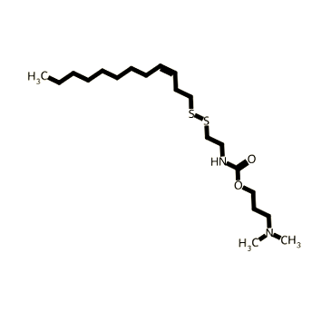 CCCCCCCC/C=C\CCSSCCNC(=O)OCCCN(C)C